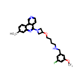 O=C(O)c1ccc2c(c1)nc(N1CC(OCCCCNCc3cc(F)cc(OC(F)(F)F)c3)C1)c1ccncc12